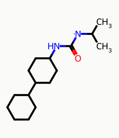 CC(C)[N]C(=O)NC1CCC(C2CCCCC2)CC1